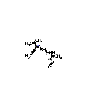 CC#C/C(=N\OCCNC(C)COC)C(C)C